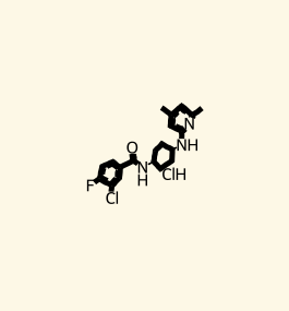 Cc1cc(C)nc(N[C@H]2CC[C@@H](NC(=O)c3ccc(F)c(Cl)c3)CC2)c1.Cl